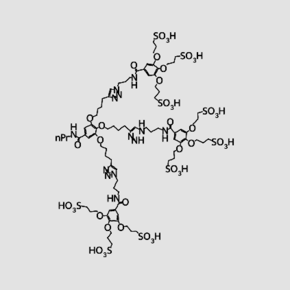 CCCNC(=O)c1cc(OCCCCc2cn(CCCNC(=O)c3cc(OCCCS(=O)(=O)O)c(OCCCS(=O)(=O)O)c(OCCCS(=O)(=O)O)c3)nn2)c(OCCCC/C(=C/NCCCNC(=O)c2cc(OCCCS(=O)(=O)O)c(OCCCS(=O)(=O)O)c(OCCCS(=O)(=O)O)c2)N=N)c(OCCCCc2cn(CCCNC(=O)c3cc(OCCCS(=O)(=O)O)c(OCCCS(=O)(=O)O)c(OCCCS(=O)(=O)O)c3)nn2)c1